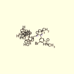 C=C/C=C(\C(=C\CN1O[C@@H](CO)[C@H]([C@H](C)O)[C@H]1C(=O)N[C@H]1C[C@H]2C[C@@H]([C@@H]1C)C2(C)C)OC)c1cc(Br)cc(C(=O)NC)c1